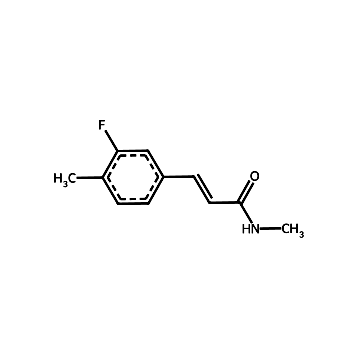 CNC(=O)/C=C/c1ccc(C)c(F)c1